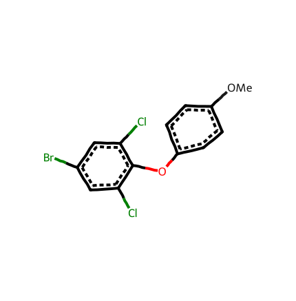 COc1ccc(Oc2c(Cl)cc(Br)cc2Cl)cc1